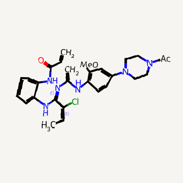 C=CC(=O)Nc1ccccc1NC(=N/C(=C)Nc1ccc(N2CCN(C(C)=O)CC2)cc1OC)/C(Cl)=C\C